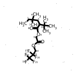 CCC(C)(C)CC(C(=O)OCC(=O)OCC(F)(F)C(F)(F)F)C(C)(C)C